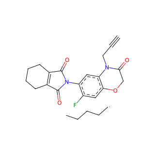 C#CCN1C(=O)COc2cc(F)c(N3C(=O)C4=C(CCCC4)C3=O)cc21.[CH2]CCCC